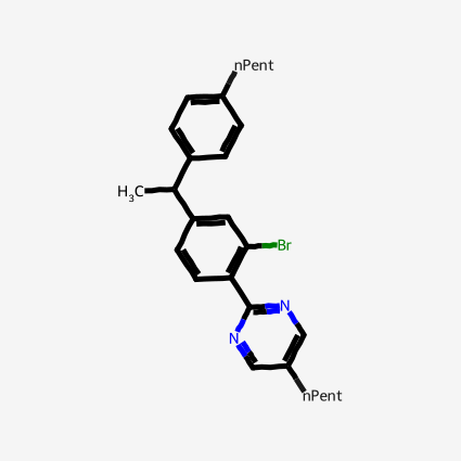 CCCCCc1ccc(C(C)c2ccc(-c3ncc(CCCCC)cn3)c(Br)c2)cc1